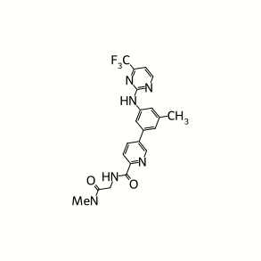 CNC(=O)CNC(=O)c1ccc(-c2cc(C)cc(Nc3nccc(C(F)(F)F)n3)c2)cn1